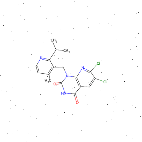 Cc1ccnc(C(C)C)c1Cn1c(=O)[nH]c(=O)c2cc(Cl)c(Cl)nc21